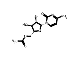 CC(=O)OC[C@H]1O[C@@H](n2ccc(N)nc2=O)[C@H](Br)[C@@H]1O